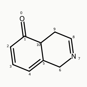 O=C1C=CC=C2CN=CCC12